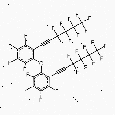 Fc1c(F)c(F)c(Oc2c(F)c(F)c(F)c(F)c2C#CC(F)(F)C(F)(F)C(F)(F)C(F)(F)F)c(C#CC(F)(F)C(F)(F)C(F)(F)C(F)(F)F)c1F